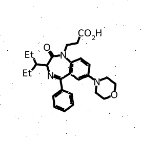 CCC(CC)C1N=C(c2ccccc2)c2cc(N3CCOCC3)ccc2N(CCC(=O)O)C1=O